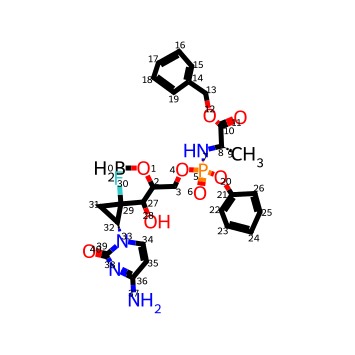 BOC(CO[P@@](=O)(N[C@@H](C)C(=O)OCc1ccccc1)Oc1ccccc1)C(O)C1(F)C[C@H]1n1ccc(N)nc1=O